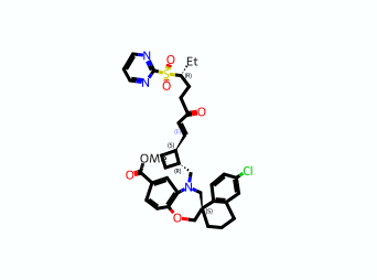 CC[C@H](CCC(=O)/C=C/[C@@H]1CC[C@H]1CN1C[C@@]2(CCCc3cc(Cl)ccc32)COc2ccc(C(=O)OC)cc21)S(=O)(=O)c1ncccn1